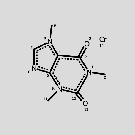 Cn1c(=O)c2c(ncn2C)n(C)c1=O.[Cr]